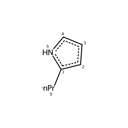 CC[CH]c1ccc[nH]1